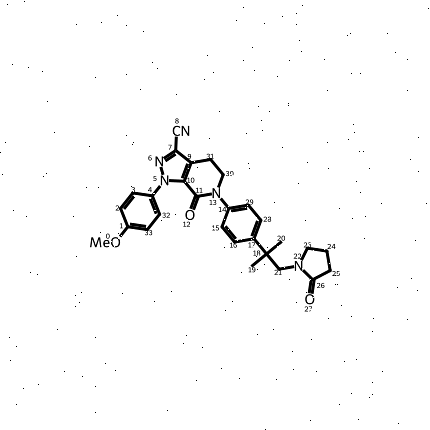 COc1ccc(-n2nc(C#N)c3c2C(=O)N(c2ccc(C(C)(C)CN4CCCC4=O)cc2)CC3)cc1